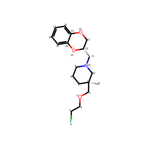 C[C@]1(COCCF)CCCN(C[C@H]2COc3ccccc3O2)C1